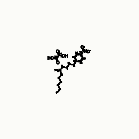 CCCCCCN(C)CCCCc1ccc([N+](=O)[O-])cc1.O=C(O)C(=O)O